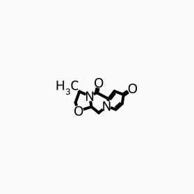 CC1COC2Cn3ccc(=O)cc3C(=O)N12